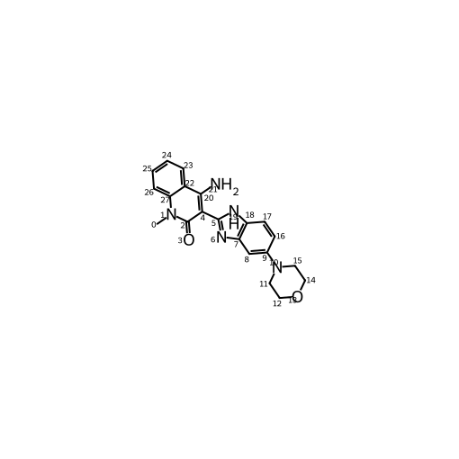 Cn1c(=O)c(-c2nc3cc(N4CCOCC4)ccc3[nH]2)c(N)c2ccccc21